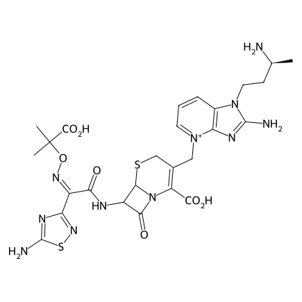 C[C@H](N)CCn1c(N)nc2c1ccc[n+]2CC1=C(C(=O)O)N2C(=O)C(NC(=O)/C(=N\OC(C)(C)C(=O)O)c3nsc(N)n3)C2SC1